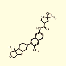 Cc1cc2cnc(NC(=O)C3COC(C)(C)C3)cc2cc1N1CCN(C2(C)COCC2F)CC1